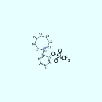 O=S(=O)(Oc1ccccc1/C1=C/CCCCCC1)C(F)(F)F